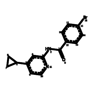 O=C(Nc1cc(C2CC2)ccn1)c1ccc(Br)cc1